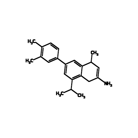 Cc1ccc(-c2cc(C(C)C)c3c(c2)C(C)C=C(N)C3)cc1C